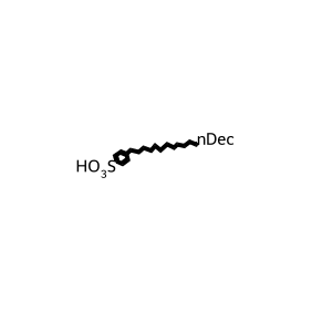 CCCCCCCCCCCCCCCCCCCCCCc1ccc(S(=O)(=O)O)cc1